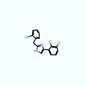 Clc1ccccc1Cc1nc(-c2cccc(Cl)c2Cl)c[nH]1